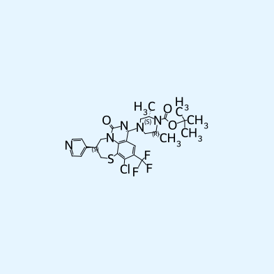 C[C@@H]1CN(c2nc(=O)n3c4c(c(Cl)c(C(F)(F)F)cc24)SC[C@@H](c2ccncc2)C3)C[C@H](C)N1C(=O)OC(C)(C)C